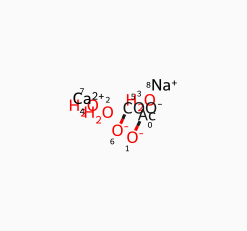 CC(=O)[O-].O.O.O.O=C([O-])[O-].[Ca+2].[Na+]